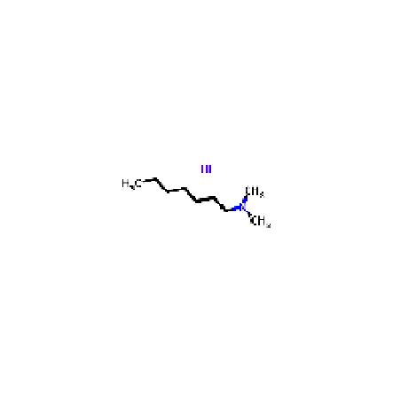 CCCCCCCN(C)C.I